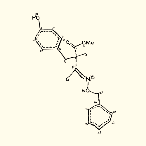 COC(=O)C(C)(Cc1ccc(O)cc1)/C(C)=N/OCc1ccccc1